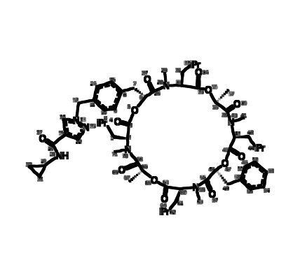 CC(C)C[C@H]1C(=O)O[C@H](Cc2ccc(Cn3cc(C(=O)NC4CC4)cn3)cc2)C(=O)N(C)[C@@H](CC(C)C)C(=O)O[C@H](C)C(=O)N(C)[C@@H](CC(C)C)C(=O)O[C@H](Cc2ccccc2)C(=O)N(C)[C@@H](CC(C)C)C(=O)O[C@H](C)C(=O)N1C